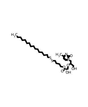 CCCCCCCCCCCCCCCCSSCCCCOP(=O)(O)COC(CO)Cn1ccc(C)nc1=O